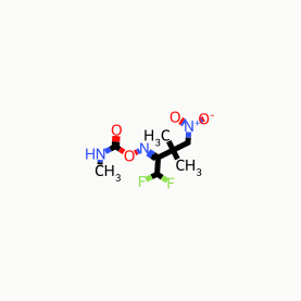 CNC(=O)ON=C(C(F)F)C(C)(C)C[N+](=O)[O-]